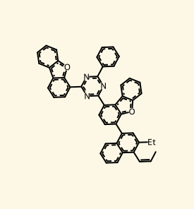 C/C=C\c1c(CC)cc(-c2ccc(-c3nc(-c4ccccc4)nc(-c4cccc5c4oc4ccccc45)n3)c3c2oc2ccccc23)c2ccccc12